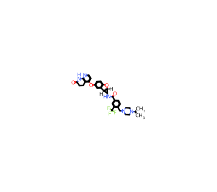 CC(C)N1CCN(Cc2ccc(C(=O)N[C@@H]3[C@H]4Oc5ccc(Oc6ccnc7c6CCC(=O)N7)cc5[C@@H]34)cc2C(F)(F)F)CC1